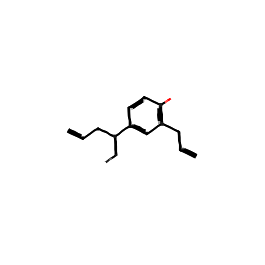 C=CCc1cc(C(CC=C)CC(=O)O)ccc1O